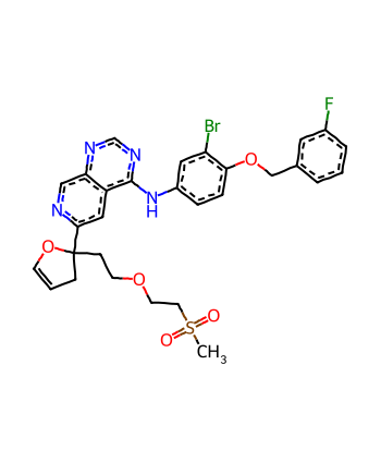 CS(=O)(=O)CCOCCC1(c2cc3c(Nc4ccc(OCc5cccc(F)c5)c(Br)c4)ncnc3cn2)CC=CO1